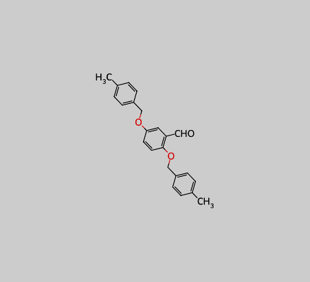 Cc1ccc(COc2ccc(OCc3ccc(C)cc3)c(C=O)c2)cc1